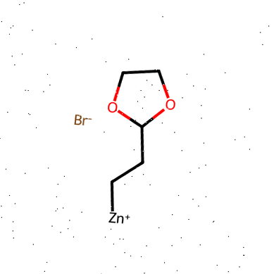 [Br-].[Zn+][CH2]CC1OCCO1